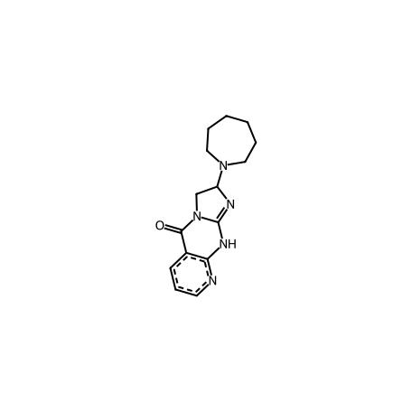 O=C1c2cccnc2NC2=NC(N3CCCCCC3)CN12